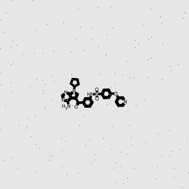 Nc1ncnc2c1c(C(=O)c1cccc(NS(=O)(=O)c3ccc(Oc4cccnc4)cc3)c1)cn2C1CCCC1